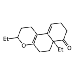 CCC1CCC2=C(CCC3(CC)C(=O)CCC=C23)O1